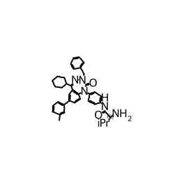 Cc1cccc(-c2ccc3c(c2)C(C2CCCCC2)=NN(Cc2ccccc2)C(=O)N3c2ccc(NC(=O)[C@@H](N)C(C)C)cc2)c1